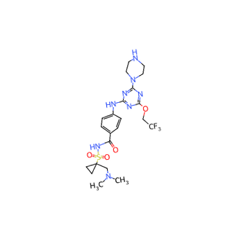 CN(C)CC1(S(=O)(=O)NC(=O)c2ccc(Nc3nc(OCC(F)(F)F)nc(N4CCNCC4)n3)cc2)CC1